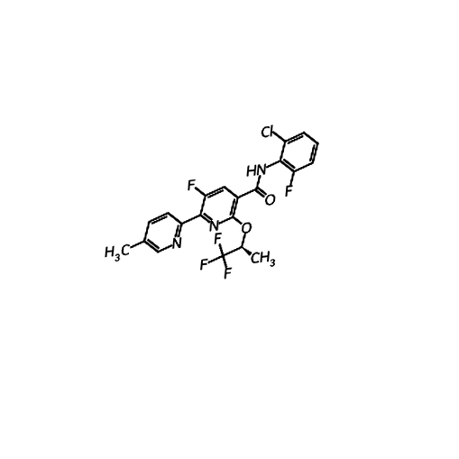 Cc1ccc(-c2nc(O[C@@H](C)C(F)(F)F)c(C(=O)Nc3c(F)cccc3Cl)cc2F)nc1